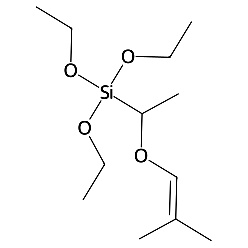 CCO[Si](OCC)(OCC)C(C)OC=C(C)C